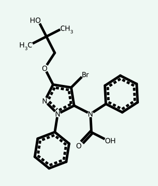 CC(C)(O)COc1nn(-c2ccccc2)c(N(C(=O)O)c2ccccc2)c1Br